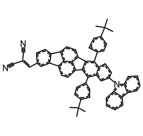 CC(C)(C)c1ccc(-c2c3c(c(-c4ccc(C(C)(C)C)cc4)c4cc(-n5c6ccccc6c6ccccc65)ccc24)-c2ccc4c5c(ccc-3c25)-c2ccc(C=C(C#N)C#N)cc2-4)cc1